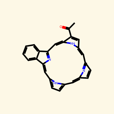 CC(=O)c1cc2cc3nc(cc4ccc(cc5nc(cc1[nH]2)-c1ccccc1-5)[nH]4)C=C3